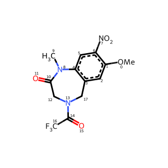 COc1cc2c(cc1[N+](=O)[O-])N(C)C(=O)CN(C(=O)C(F)(F)F)C2